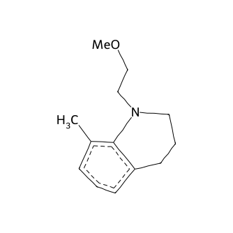 COCCN1CCCc2cccc(C)c21